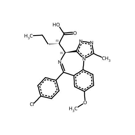 CCC[C@H](C(=O)O)[C@@H]1N=C(c2ccc(Cl)cc2)c2cc(OC)ccc2-n2c(C)nnc21